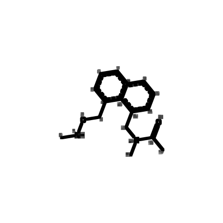 CNOCc1cccc2cccc(CN(C)C(C)=O)c12